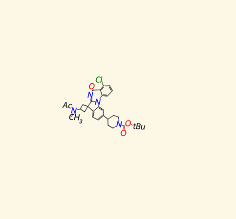 CC(=O)N(C)C1CC2(C1)c1ccc(C3CCN(C(=O)OC(C)(C)C)CC3)cc1-n1c2nc(=O)c2c(Cl)cccc21